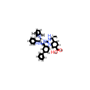 CC[C@@H](Nc1nc2c(c(N[C@@H](CN3C[C@@H]4CC[C@@H]3C4)c3ccccc3)n1)C[C@H](c1ccccc1)CC2)C1CCC(C(=O)O)CC1